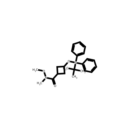 CON(C)C(=O)C1CC(O[Si](c2ccccc2)(c2ccccc2)C(C)(C)C)C1